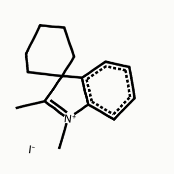 CC1=[N+](C)c2ccccc2C12CCCCC2.[I-]